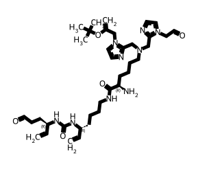 C=C[C@@H](CCC=O)NC(=O)N[C@@H](C=C)CCCCNC(=O)[C@H](N)CCCCN(Cc1nccn1CC=O)Cc1nccn1CC(=C)OC(C)(C)C